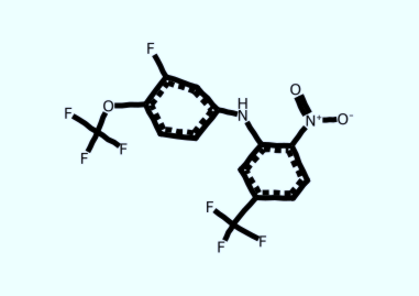 O=[N+]([O-])c1ccc(C(F)(F)F)cc1Nc1ccc(OC(F)(F)F)c(F)c1